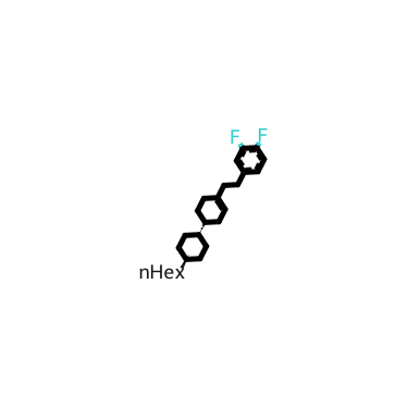 CCCCCC[C@H]1CC[C@H](C2CC=C(CCc3ccc(F)c(F)c3)CC2)CC1